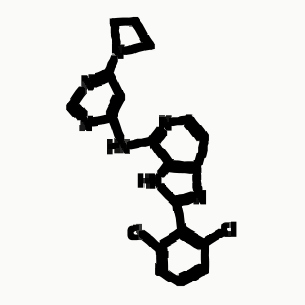 Clc1cccc(Cl)c1-c1nc2ccnc(Nc3cc(N4CCC4)ncn3)c2[nH]1